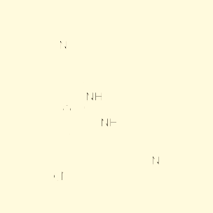 O=C(NCCc1cccnc1)C(NCCc1cccnc1)c1ccc(Cl)cc1